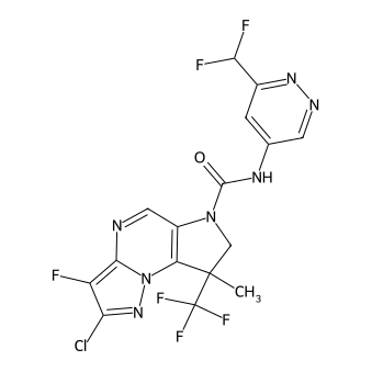 CC1(C(F)(F)F)CN(C(=O)Nc2cnnc(C(F)F)c2)c2cnc3c(F)c(Cl)nn3c21